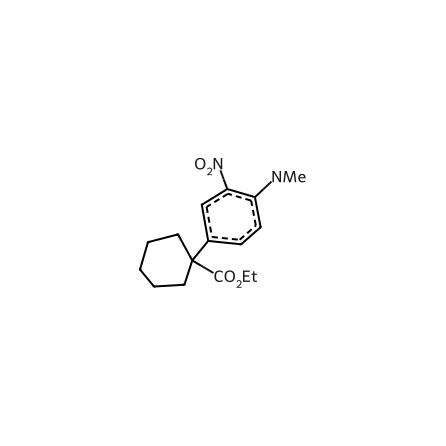 CCOC(=O)C1(c2ccc(NC)c([N+](=O)[O-])c2)CCCCC1